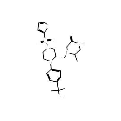 CC1CNC(=O)CN1C[C@H]1CN(S(=O)(=O)c2cccs2)CCN1c1ccc(C(C)(C)O)cc1